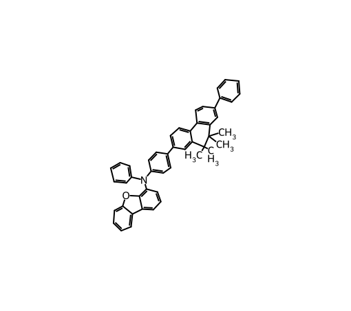 CC1(C)c2cc(-c3ccccc3)ccc2-c2ccc(-c3ccc(N(c4ccccc4)c4cccc5c4oc4ccccc45)cc3)cc2C1(C)C